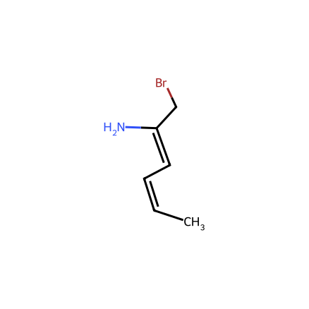 C/C=C\C=C(/N)CBr